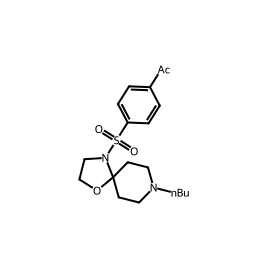 CCCCN1CCC2(CC1)OCCN2S(=O)(=O)c1ccc(C(C)=O)cc1